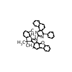 Cc1cccc2c1-c1c(c3ccc4c5ccccc5oc4c3n1-c1nc(-c3ccccc3)c3ccc4ccccc4c3n1)C2(C)C